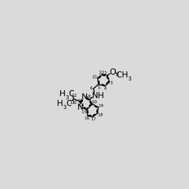 COc1ccc(CNc2nc(C(C)C)nc3ccccc23)cc1